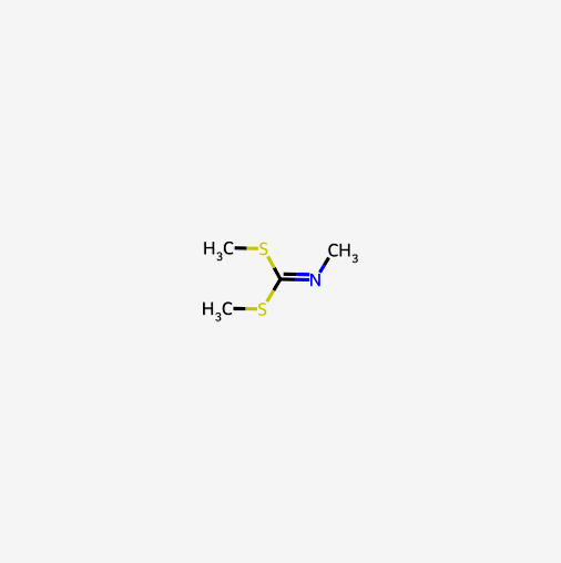 CN=C(SC)SC